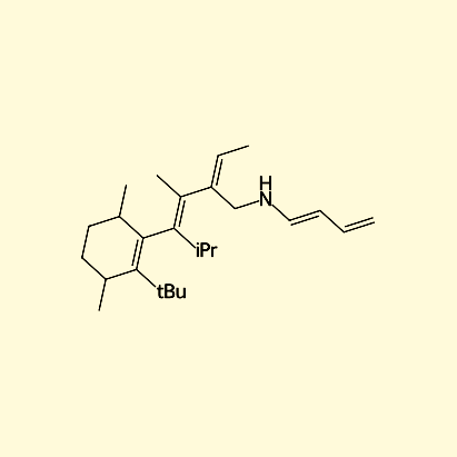 C=C/C=C/NCC(=C\C)/C(C)=C(/C1=C(C(C)(C)C)C(C)CCC1C)C(C)C